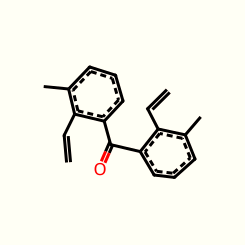 C=Cc1c(C)cccc1C(=O)c1cccc(C)c1C=C